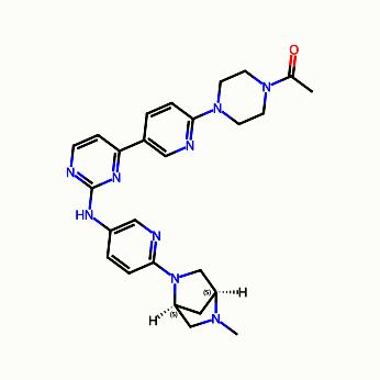 CC(=O)N1CCN(c2ccc(-c3ccnc(Nc4ccc(N5C[C@@H]6C[C@H]5CN6C)nc4)n3)cn2)CC1